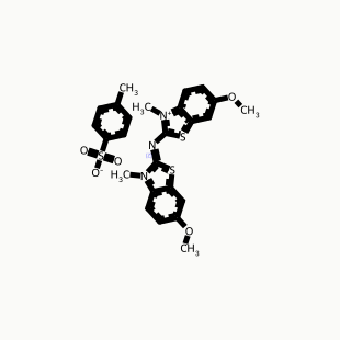 COc1ccc2c(c1)s/c(=N\c1sc3cc(OC)ccc3[n+]1C)n2C.Cc1ccc(S(=O)(=O)[O-])cc1